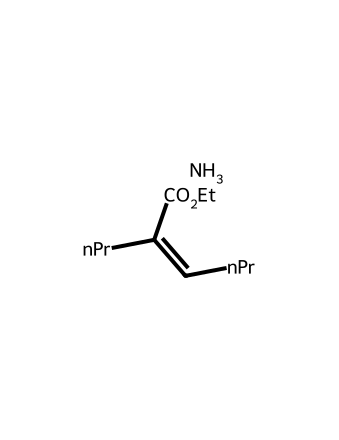 CCCC=C(CCC)C(=O)OCC.N